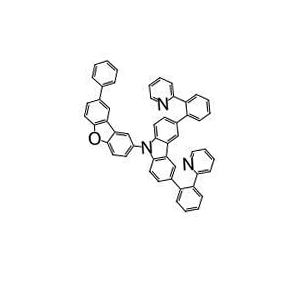 c1ccc(-c2ccc3oc4ccc(-n5c6ccc(-c7ccccc7-c7ccccn7)cc6c6cc(-c7ccccc7-c7ccccn7)ccc65)cc4c3c2)cc1